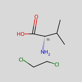 CC(C)[C@H](N)C(=O)O.ClCCCl